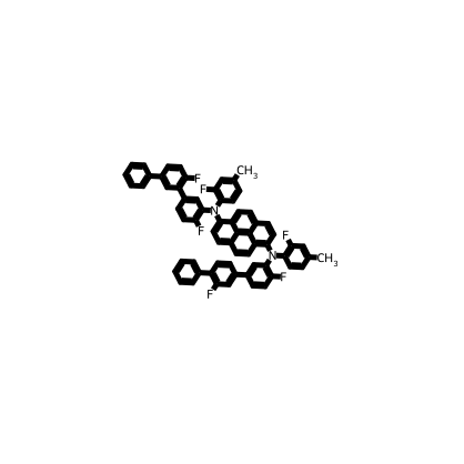 Cc1ccc(N(c2cc(-c3ccc(-c4ccccc4)c(F)c3)ccc2F)c2ccc3ccc4c(N(c5ccc(C)cc5F)c5cc(-c6cc(-c7ccccc7)ccc6F)ccc5F)ccc5ccc2c3c54)c(F)c1